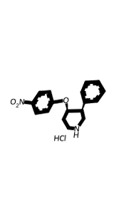 Cl.O=[N+]([O-])c1ccc(O[C@@H]2CCNC[C@@H]2c2ccccc2)cc1